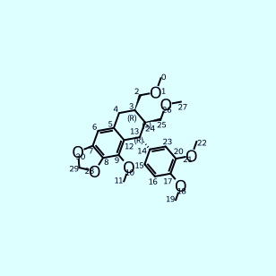 COC[C@@H]1Cc2cc3c(c(OC)c2[C@@H](c2ccc(OC)c(OC)c2)[C@@H]1COC)OCO3